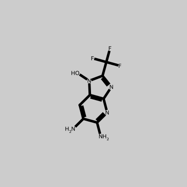 Nc1cc2c(nc1N)nc(C(F)(F)F)n2O